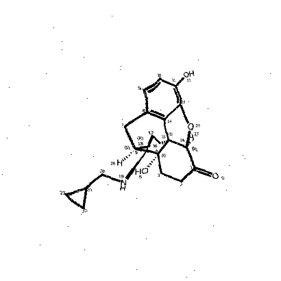 O=C1CC[C@@]2(O)[C@H]3Cc4ccc(O)c5c4[C@@]2(CC[C@H]3NCC2CC2)[C@H]1O5